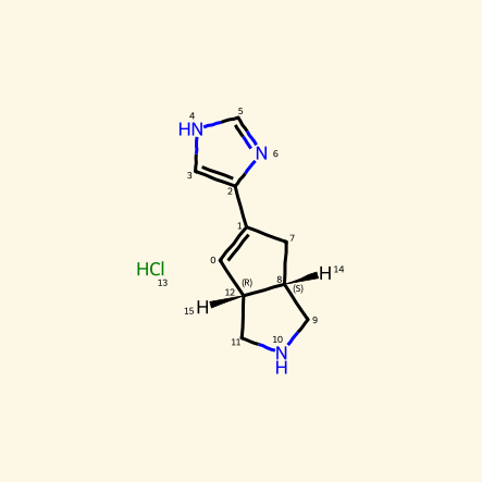 C1=C(c2c[nH]cn2)C[C@@H]2CNC[C@H]12.Cl